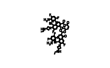 CCNC1CN(c2c(F)cc3c(=O)c(C(=O)OC(=O)/C=C\C(=O)OC(=O)c4cn(-c5nc(N)c(F)cc5F)c5c(Br)c(N6CC(NCC)C6)c(F)cc5c4=O)cn(-c4nc(N)c(F)cc4F)c3c2Br)C1